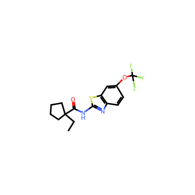 CCC1(C(=O)Nc2nc3ccc(OC(F)(F)F)cc3s2)CCCC1